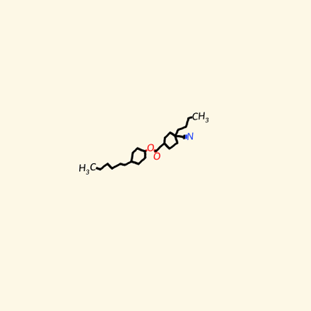 CCCCCCC1CCC(OC(=O)C2CCC(C#N)(CCCC)CC2)CC1